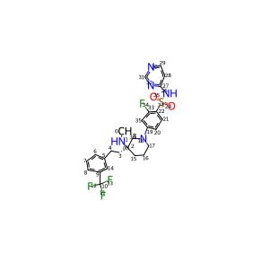 CN[C@]1(CCc2cccc(C(F)(F)F)c2)CCCN(c2ccc(S(=O)(=O)Nc3ccncn3)c(F)c2)C1